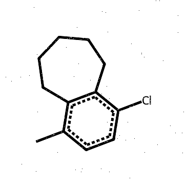 Cc1ccc(Cl)c2c1CCCCC2